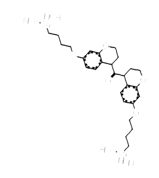 [CH3][SnH]([CH3])[CH2]CCCOc1ccc2c(c1)OCCC2C(=O)C1CCOc2cc(OCCC[CH2][SnH]([CH3])[CH3])ccc21